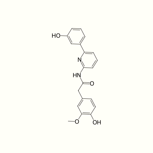 COc1cc(CC(=O)Nc2cccc(-c3cccc(O)c3)n2)ccc1O